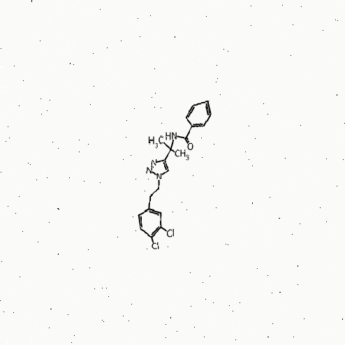 CC(C)(NC(=O)c1ccccc1)c1cn(CCc2ccc(Cl)c(Cl)c2)nn1